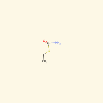 CCSC(N)=O